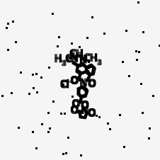 CN1C[N+](C)(C)Cc2cc3c4c(cccc4c21)C(=O)N(c1ccc(C(=O)ON2C(=O)CCC2=O)cc1)C3=O.[Cl-]